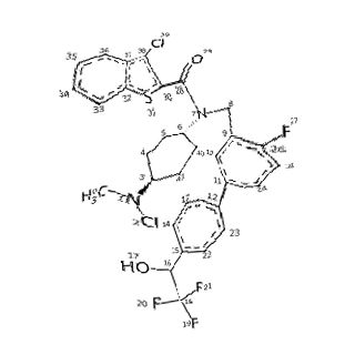 CN(Cl)[C@H]1CC[C@H](N(Cc2cc(-c3ccc(C(O)C(F)(F)F)cc3)ccc2F)C(=O)c2sc3ccccc3c2Cl)CC1